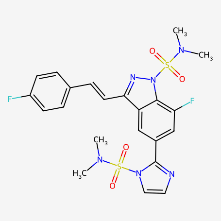 CN(C)S(=O)(=O)n1ccnc1-c1cc(F)c2c(c1)c(C=Cc1ccc(F)cc1)nn2S(=O)(=O)N(C)C